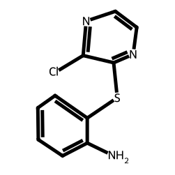 Nc1ccccc1Sc1nccnc1Cl